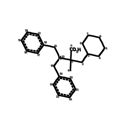 CC(CC1CCCCC1)(C(=O)O)N(Cc1ccccc1)Cc1ccccc1